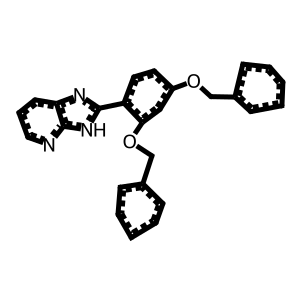 c1ccc(COc2ccc(-c3nc4cccnc4[nH]3)c(OCc3ccccc3)c2)cc1